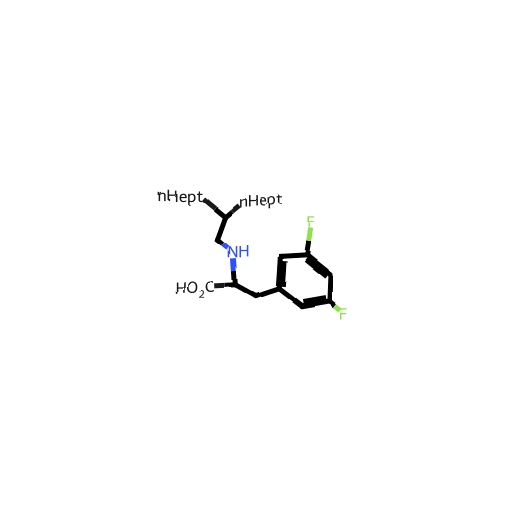 CCCCCCCC(CCCCCCC)CNC(Cc1cc(F)cc(F)c1)C(=O)O